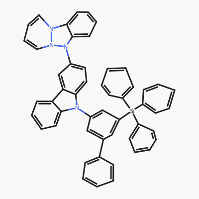 C1=CN2c3ccccc3N(c3ccc4c(c3)c3ccccc3n4-c3cc(-c4ccccc4)cc([Si](c4ccccc4)(c4ccccc4)c4ccccc4)c3)N2C=C1